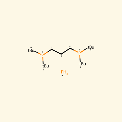 CC(C)(C)P(CCCP(C(C)(C)C)C(C)(C)C)C(C)(C)C.P